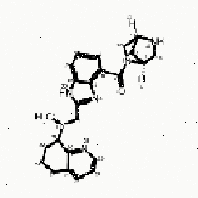 CN(Cc1nc2c(C(=O)N3C[C@@H]4C[C@H]3CN4)cccc2[nH]1)C1CCCc2cccnc21